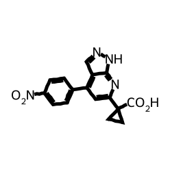 O=C(O)C1(c2cc(-c3ccc([N+](=O)[O-])cc3)c3cn[nH]c3n2)CC1